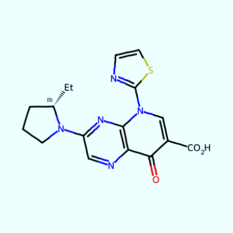 CC[C@H]1CCCN1c1cnc2c(=O)c(C(=O)O)cn(-c3nccs3)c2n1